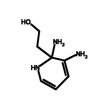 NC1=CC=CNC1(N)CCO